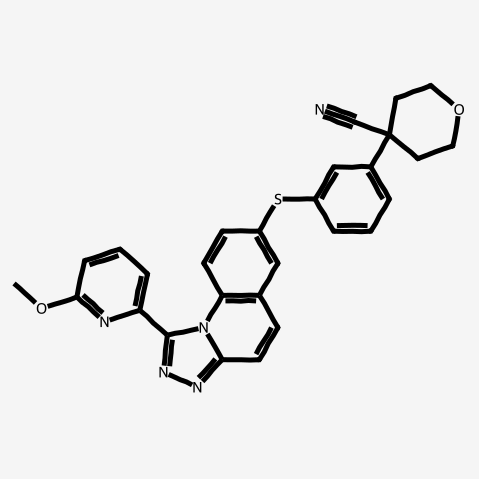 COc1cccc(-c2nnc3ccc4cc(Sc5cccc(C6(C#N)CCOCC6)c5)ccc4n23)n1